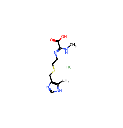 CN/C(=N\CCSCc1nc[nH]c1C)C(=O)O.Cl